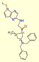 C[C@@H]1C[C@H](N(Cc2ccccc2)Cc2ccccc2)C[C@@H]1C(=O)CNc1cnc2c(ccn2SI)n1